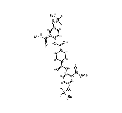 COC(=O)c1cc(O[Si](C)(C)C(C)(C)C)ccc1OC(=O)C1CCC(C(=O)Oc2ccc(O[Si](C)(C)C(C)(C)C)cc2C(=O)OC)CC1